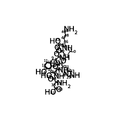 CC(C)C[C@H](NC(=O)[C@H](Cc1ccc(O)cc1)NC(=O)[C@H](Cc1c[nH]cn1)NC(=O)[C@H](CO)NC(=O)[C@@H](N)CC(=O)O)C(=O)N[C@@H](CCCCN)C(=O)O